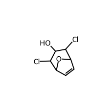 OC1C(Cl)C2C=CC(O2)C1Cl